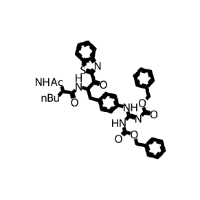 CCCCC(NC(C)=O)C(=O)NC(Cc1ccc(NC(=NC(=O)OCc2ccccc2)NC(=O)OCc2ccccc2)cc1)C(=O)c1nc2ccccc2s1